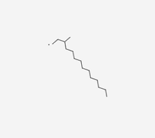 [CH2]CC(C)CCCCCCCCCCC